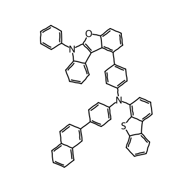 c1ccc(-n2c3ccccc3c3c4c(-c5ccc(N(c6ccc(-c7ccc8ccccc8c7)cc6)c6cccc7c6sc6ccccc67)cc5)cccc4oc32)cc1